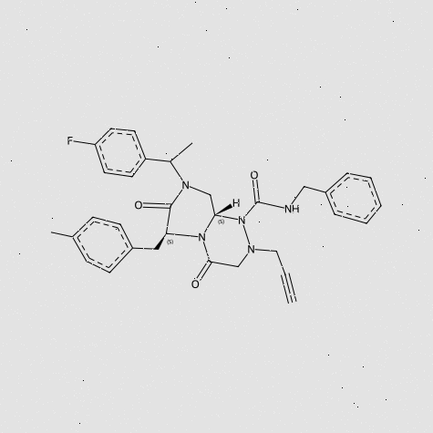 C#CCN1CC(=O)N2[C@@H](Cc3ccc(C)cc3)C(=O)N(C(C)c3ccc(F)cc3)C[C@@H]2N1C(=O)NCc1ccccc1